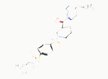 CCN(CC)S(=O)(=O)c1ccc(S(=O)(=O)N2CCCC(C(=O)N3CCC(OC)CC3)C2)cc1